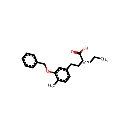 CCC[C@H](CCc1ccc(C)c(OCc2ccccc2)c1)C(=O)O